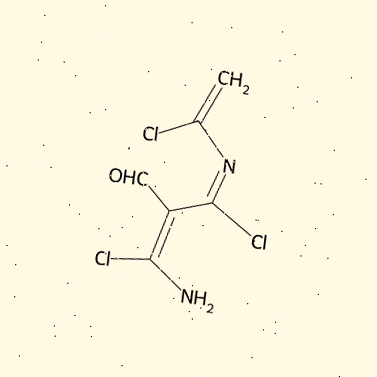 C=C(Cl)/N=C(Cl)\C(C=O)=C(/N)Cl